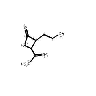 C=C(C(=O)O)C1NC(=O)C1CCO